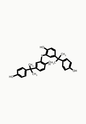 CC(C)(c1ccc(O)cc1)c1ccc(O)c(Sc2cc(C(C)(C)c3ccc(O)cc3)ccc2O)c1